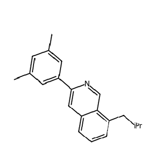 Cc1cc(C)cc(-c2cc3cccc(CC(C)C)c3cn2)c1